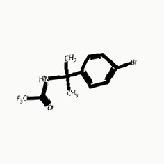 CC(C)(NC(=O)C(F)(F)F)c1ccc(Br)cc1